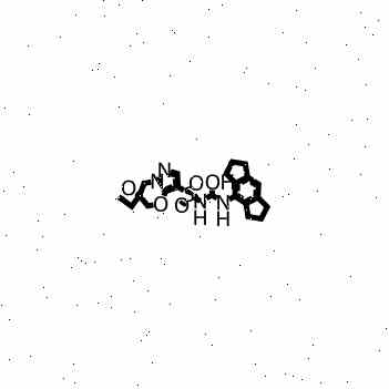 O=S(=O)(NC(O)Nc1c2c(cc3c1CCC3)CCC2)c1cnn2c1OCC1(CCO1)C2